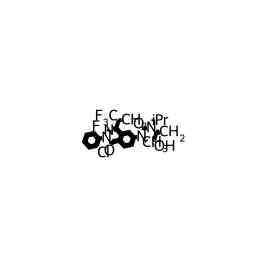 C=C(CO)N(C(=O)N(C)c1ccc2c(=O)n(-c3c(F)cccc3Cl)nc(C(C)C(F)(F)F)c2c1)C(C)C